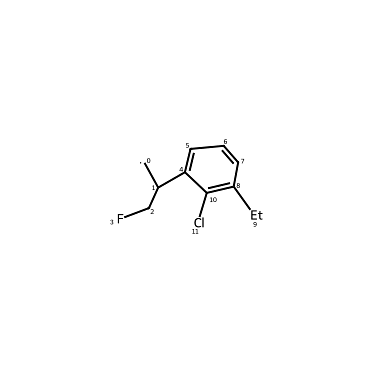 [CH2]C(CF)c1cccc(CC)c1Cl